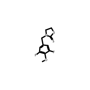 COc1c(F)cc(CN2CCSC2=S)cc1F